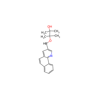 CC(C)(O)C(C)(C)OBc1cnc2c(ccc3ccccc32)c1